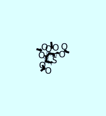 CC(=O)OC[C@H]1S[CH][C@H](OC(C)=O)[C@@H](OC(C)=O)[C@@H]1OC(C)=O